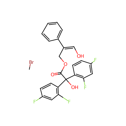 CBr.O=C(OCC(=CO)c1ccccc1)C(O)(c1ccc(F)cc1F)c1ccc(F)cc1F